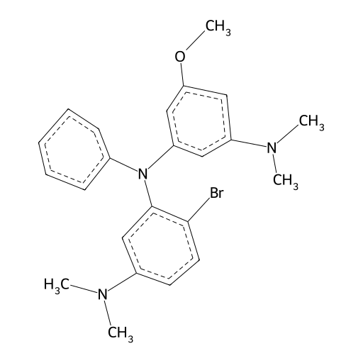 COc1cc(N(C)C)cc(N(c2ccccc2)c2cc(N(C)C)ccc2Br)c1